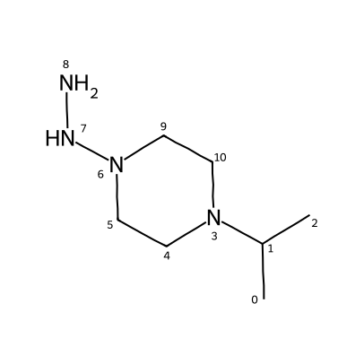 CC(C)N1CCN(NN)CC1